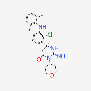 Cc1cccc(C)c1Nc1cccc([C@]2(C)CC(=O)N(C3CCOCC3)C(=N)N2)c1Cl